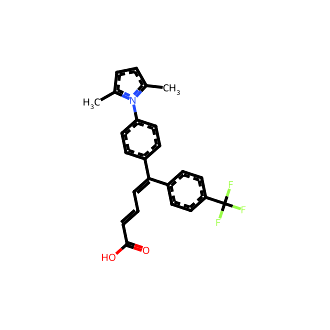 Cc1ccc(C)n1-c1ccc(C(=CC=CC(=O)O)c2ccc(C(F)(F)F)cc2)cc1